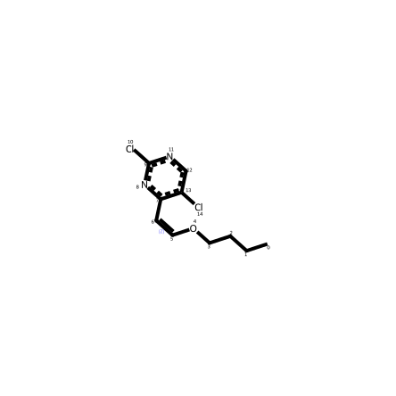 CCCCO/C=C\c1nc(Cl)ncc1Cl